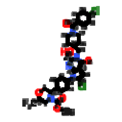 CC(C)(C)OC(=O)N1C[C@H](C(F)(F)F)OC[C@H]1c1ccc(-n2c(Cl)cc3c(=O)n(CC4(O)CCN(C(=O)c5ccc(Cl)cc5)CC4)cnc32)cc1